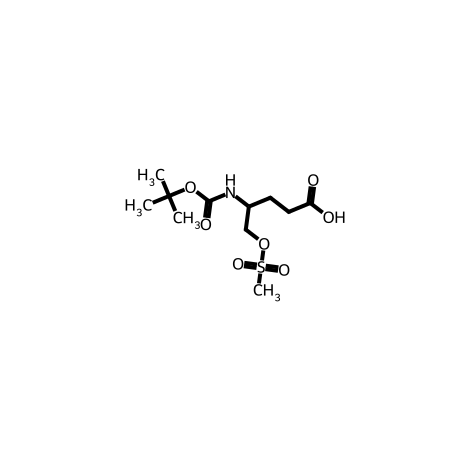 CC(C)(C)OC(=O)NC(CCC(=O)O)COS(C)(=O)=O